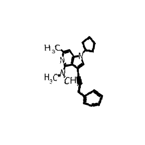 Cc1cc2c(c(C#CCc3ccccc3)cn2C2CCCC2)c(N(C)C)n1